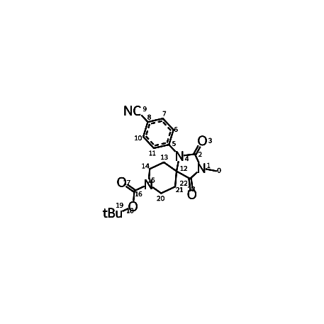 CN1C(=O)N(c2ccc(C#N)cc2)C2(CCN(C(=O)OC(C)(C)C)CC2)C1=O